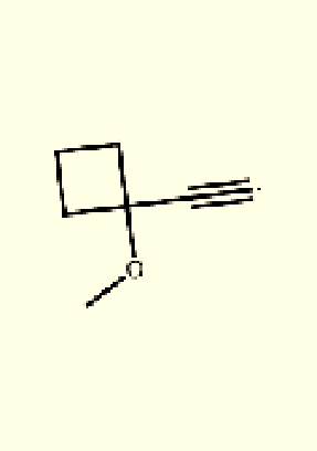 [C]#CC1(OC)CCC1